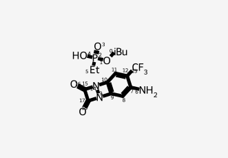 CCC(C)OP(=O)(O)CC.Nc1cc2c(cc1C(F)(F)F)n1c(=O)c(=O)n21